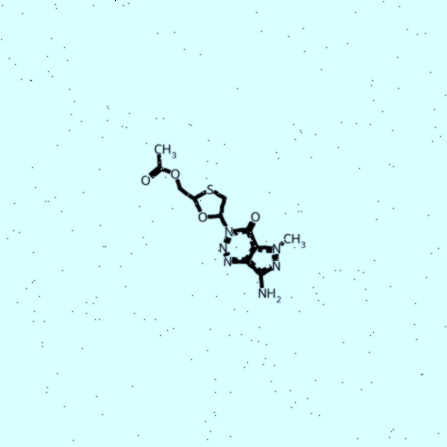 CC(=O)OCC1OC(n2nnc3c(N)nn(C)c3c2=O)CS1